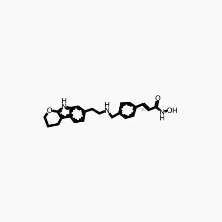 O=C(/C=C/c1ccc(CNCCc2ccc3c4c([nH]c3c2)OCCC4)cc1)NO